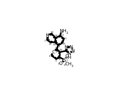 CS(=O)(=O)c1cccc(-c2ccc(N)c3cnccc23)c1-c1nnn[nH]1